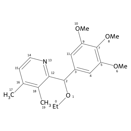 CCOC(c1cc(OC)c(OC)c(OC)c1)c1nccc(C)c1C